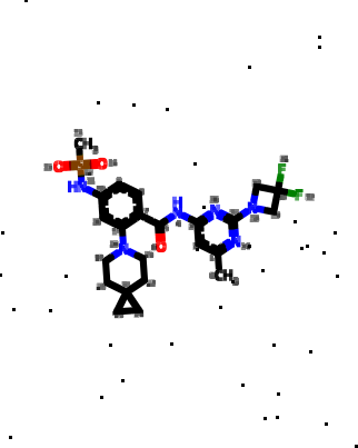 Cc1cc(NC(=O)c2ccc(NS(C)(=O)=O)cc2N2CCC3(CC2)CC3)nc(N2CC(F)(F)C2)n1